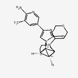 CC(C)c1nc(-c2cnc(N)c(C(F)(F)F)c2)cn1[C@@]12C3[C@H]1[C@H]2CN3C1CCOCC1